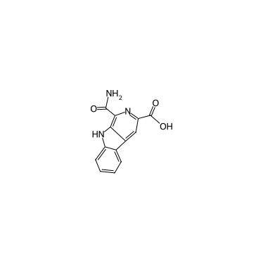 NC(=O)c1nc(C(=O)O)cc2c1[nH]c1ccccc12